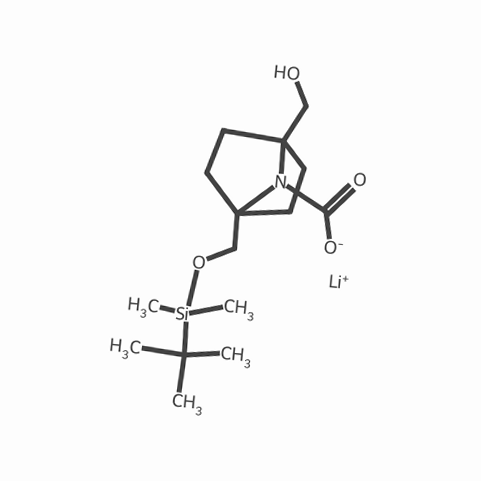 CC(C)(C)[Si](C)(C)OCC12CCC(CO)(CC1)N2C(=O)[O-].[Li+]